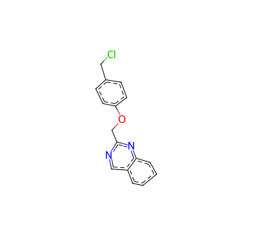 ClCc1ccc(OCc2ncc3ccccc3n2)cc1